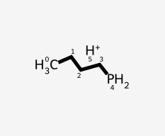 CCCCP.[H+]